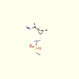 CCS(=O)(=O)NCC1C(C)[C@@H]1C(C)NC